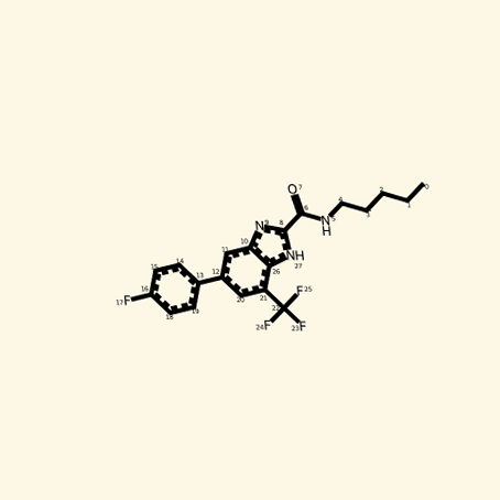 [CH2]CC[CH]CNC(=O)c1nc2cc(-c3ccc(F)cc3)cc(C(F)(F)F)c2[nH]1